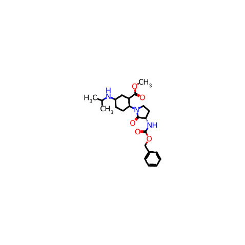 COC(=O)C1CC(NC(C)C)CCC1N1CC[C@H](NC(=O)OCc2ccccc2)C1=O